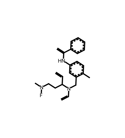 C=CC(CCN(C)F)N(C=C)Cc1cc(NC(=C)c2ccccc2)ccc1C